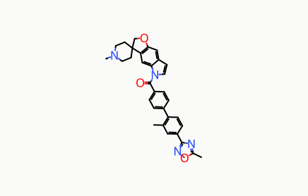 Cc1nc(-c2ccc(-c3ccc(C(=O)n4ccc5cc6c(cc54)C4(CCN(C)CC4)CO6)cc3)c(C)c2)no1